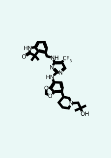 CC(C)(O)CN1CCCC(c2ccc(Nc3ncc(C(F)(F)F)c(NCc4cccc5c4C(C)(C)C(=O)N5)n3)c3c2OCO3)C1